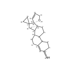 C[C@]12CCC3C4CCC(=N)C=C4CCC3C1CC1(CC1)[C@@]21C=CCO1